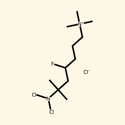 CC(C)(CC(F)CCC[N+](C)(C)C)N(Cl)Cl.[Cl-]